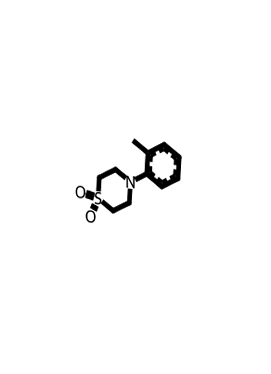 Cc1ccccc1N1CCS(=O)(=O)CC1